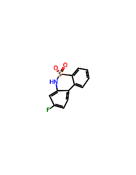 O=S1(=O)Nc2cc(F)ccc2-c2ccccc21